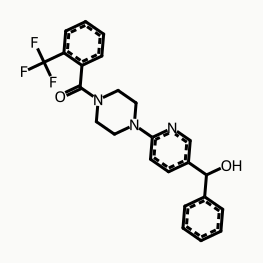 O=C(c1ccccc1C(F)(F)F)N1CCN(c2ccc(C(O)c3ccccc3)cn2)CC1